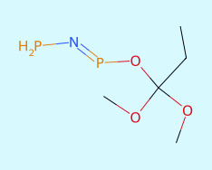 CCC(OC)(OC)OP=NP